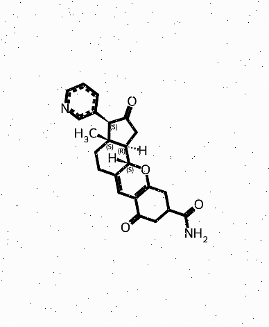 C[C@]12CCC3=CC4=C(CC(C(N)=O)CC4=O)O[C@H]3[C@@H]1CC(=O)[C@@H]2c1cccnc1